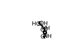 CC(=O)Nc1ccc(S(=O)(=O)NCCC[Si](C)(O)O)cc1